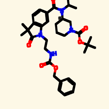 CC(C)N(C(=O)c1ccc2c(c1)N(CCNC(=O)OCc1ccccc1)C(=O)C2(C)C)[C@@H]1CCCN(C(=O)OC(C)(C)C)C1